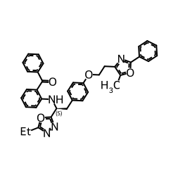 CCc1nnc([C@H](Cc2ccc(OCCc3nc(-c4ccccc4)oc3C)cc2)Nc2ccccc2C(=O)c2ccccc2)o1